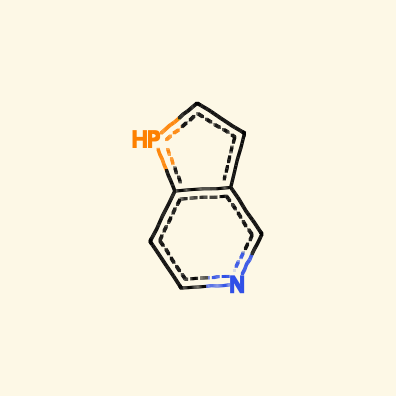 c1cc2[pH]ccc2cn1